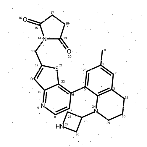 Cc1cc2c(c(-c3ccnc4cc(CN5C(=O)CCC5=O)sc34)c1)N(C1CNC1)CCC2